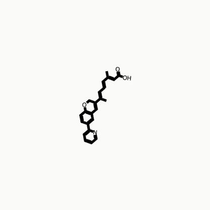 CC(C=CC=C(C)C1=Cc2cc(-c3ccccn3)ccc2OC1)=CC(=O)O